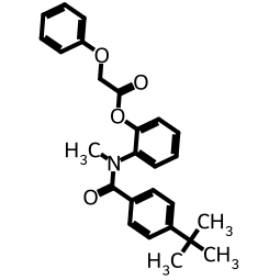 CN(C(=O)c1ccc(C(C)(C)C)cc1)c1ccccc1OC(=O)COc1ccccc1